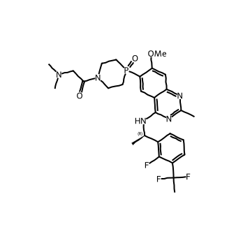 COc1cc2nc(C)nc(N[C@H](C)c3cccc(C(C)(F)F)c3F)c2cc1P1(=O)CCN(C(=O)CN(C)C)CC1